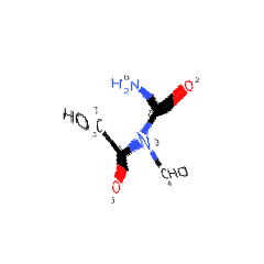 NC(=O)N(C=O)C(=O)C(=O)O